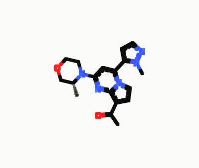 CC(=O)c1ccn2c(-c3ccnn3C)cc(N3CCOC[C@H]3C)nc12